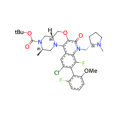 COc1cccc(F)c1-c1c(Cl)cc2c3c(c(=O)n(C[C@@H]4CCCN4C)c2c1F)OC[C@H]1CN(C(=O)OC(C)(C)C)[C@H](C)CN31